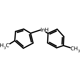 Cc1cc[c]([InH][c]2ccc(C)cc2)cc1